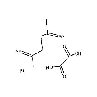 CC(=[Se])CCC(C)=[Se].O=C(O)C(=O)O.[Pt]